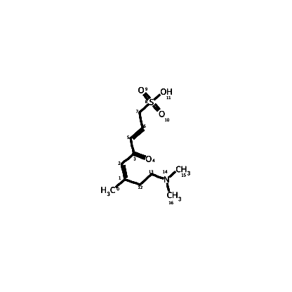 CC(=CC(=O)C=CCS(=O)(=O)O)CCN(C)C